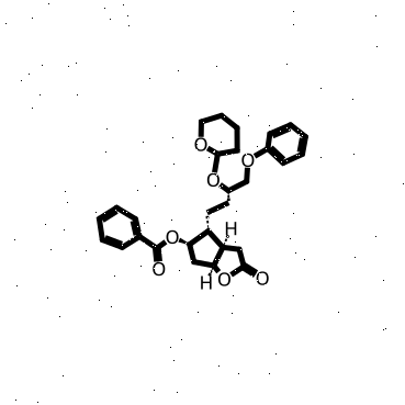 O=C1C[C@@H]2[C@@H](CC[C@@H](COc3ccccc3)OC3CCCCO3)[C@H](OC(=O)c3ccccc3)C[C@@H]2O1